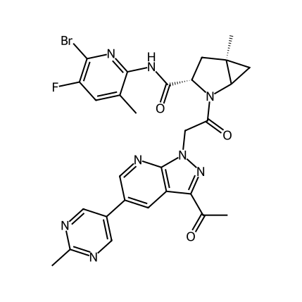 CC(=O)c1nn(CC(=O)N2C3C[C@]3(C)C[C@H]2C(=O)Nc2nc(Br)c(F)cc2C)c2ncc(-c3cnc(C)nc3)cc12